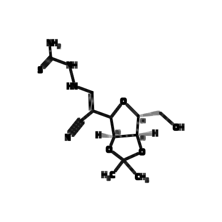 CC1(C)O[C@@H]2[C@@H](CO)OC(C(C#N)=CNNC(N)=S)[C@@H]2O1